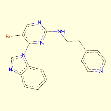 Brc1cnc(NCCc2ccncc2)nc1-n1cnc2ccccc21